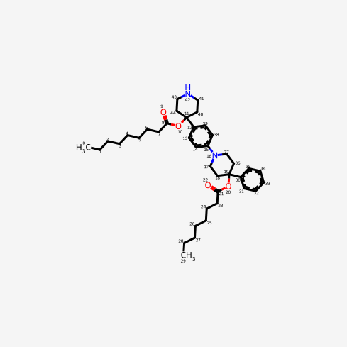 CCCCCCCCC(=O)OC1(c2ccc(N3CCC(OC(=O)CCCCCCC)(c4ccccc4)CC3)cc2)CCNCC1